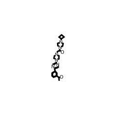 CC(=O)c1cccc(-c2cnc(N3CCN(CC(=O)N4CCN(C5CCC5)CC4)CC3)cn2)c1